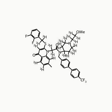 [2H]c1c(C)c([2H])c2c(c1[2H])c(=O)c([2H])c(SC([2H])([2H])c1cccc(F)c1F)n2C([2H])([2H])C(=O)N(Cc1ccc(-c2ccc(C(F)(F)F)cc2)cc1)C1([2H])C([2H])([2H])C([2H])([2H])N(C([2H])([2H])C([2H])([2H])OC)C([2H])([2H])C1([2H])[2H]